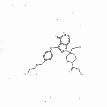 COCCNSc1ccc(Nc2nn(C3(CC#N)CCN(C(=O)OC(C)(C)C)CC3)c3cc[nH]c(=O)c23)cc1